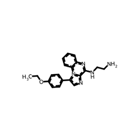 CCOc1ccc(-c2cnc3c(NCCN)nc4ccccc4n23)cc1